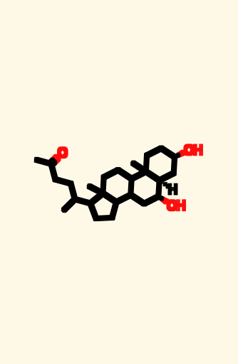 CC(=O)CCC(C)C1CCC2C3C[C@H](O)[C@@H]4C[C@H](O)CCC4(C)C3CCC12C